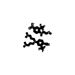 CN(C)CCCN(CCCN(C)C)c1ccc(C#N)c(C(F)(F)F)c1.COCCN(C)c1ccc([N+](=O)[O-])cc1C(F)(F)F